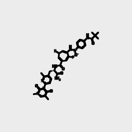 BC(=O)[C@H](Cc1ccc(-n2c(=O)c(C)cn(C)c2=O)nc1C)NC(=O)C1=CC(F)C=C(N[S+]([O-])c2ccc(NC(=O)C(C)(C)C)cc2)C(F)=C1